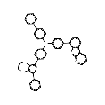 c1ccc(-c2ccc(N(c3ccc(-c4sc(-c5ccccc5)c5c4OCCO5)cc3)c3ccc(-c4cccc5c4sc4ncccc45)cc3)cc2)cc1